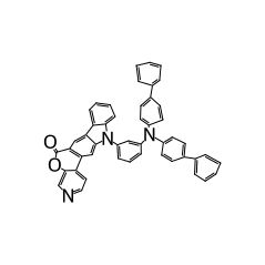 O=c1oc2cnccc2c2cc3c(cc12)c1ccccc1n3-c1cccc(N(c2ccc(-c3ccccc3)cc2)c2ccc(-c3ccccc3)cc2)c1